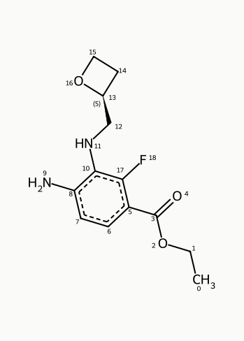 CCOC(=O)c1ccc(N)c(NC[C@@H]2CCO2)c1F